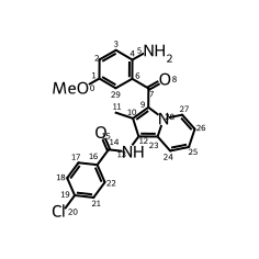 COc1ccc(N)c(C(=O)c2c(C)c(NC(=O)c3ccc(Cl)cc3)c3ccccn23)c1